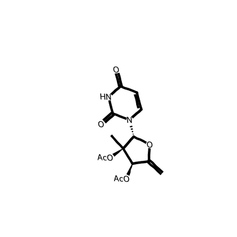 C=C1O[C@@H](n2ccc(=O)[nH]c2=O)[C@](C)(OC(C)=O)[C@@H]1OC(C)=O